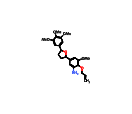 C=CCOc1c(N)cc(C2CCC(c3cc(OC)c(OC)c(OC)c3)O2)cc1OC